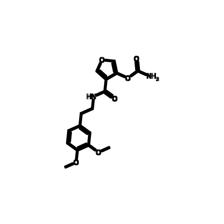 COc1ccc(CCNC(=O)c2cocc2OC(N)=O)cc1OC